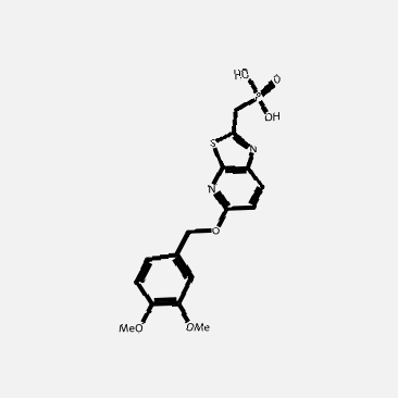 COc1ccc(COc2ccc3nc(CP(=O)(O)O)sc3n2)cc1OC